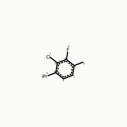 Cc1ccc(C(C)C)c(Cl)c1F